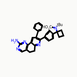 CC(C)(C)N(C(=O)O)C1(c2ccc(-c3nc4c(cc3-c3ccccc3)-c3nc(N)ncc3CC4)cc2)CCC1